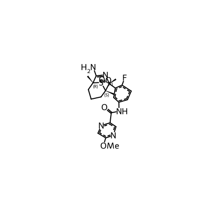 COc1cnc(C(=O)Nc2ccc(F)c([C@@]3(C)N=C(N)[C@@]4(C)CCC[C@]3(C)S4(=O)=O)c2)cn1